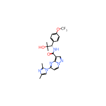 Cc1cn(-c2ccn3ncc(C(=O)N[C@@H](c4ccc(OC(F)(F)F)cc4)C(C)(C)O)c3n2)c(C)n1